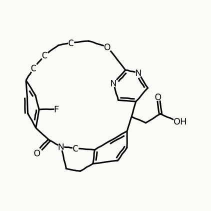 O=C(O)CC1c2cnc(nc2)OCCCCCc2ccc(c(F)c2)C(=O)N2CCc3ccc1cc3C2